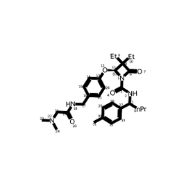 CCCC(NC(=O)N1C(=O)C(CC)(CC)[C@@H]1Oc1ccc(CNC(=O)CN(C)C)cc1)c1ccc(C)cc1